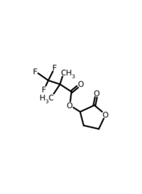 CC(C)(C(=O)OC1CCOC1=O)C(F)(F)F